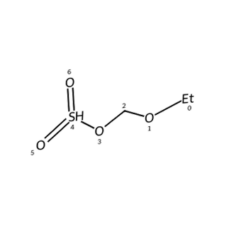 CCOCO[SH](=O)=O